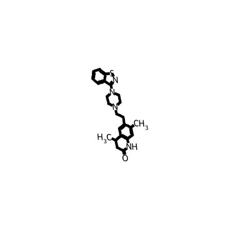 Cc1cc2c(cc1CCN1CCN(c3nsc4ccccc34)CC1)C(C)CC(=O)N2